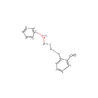 O=Cc1ccccc1CCCCOc1ccccc1